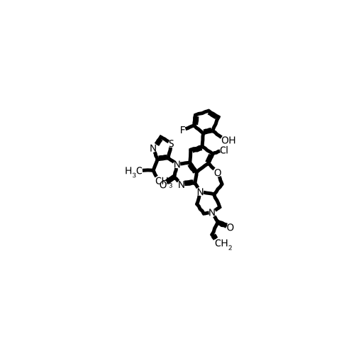 C=CC(=O)N1CCN2c3nc(=O)n(-c4scnc4C(C)C)c4cc(-c5c(O)cccc5F)c(Cl)c(c34)OCC2C1